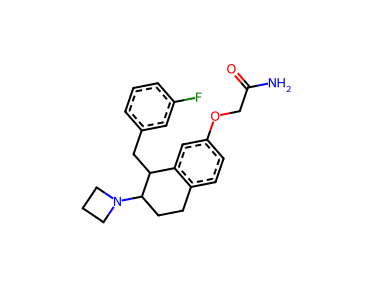 NC(=O)COc1ccc2c(c1)C(Cc1cccc(F)c1)C(N1CCC1)CC2